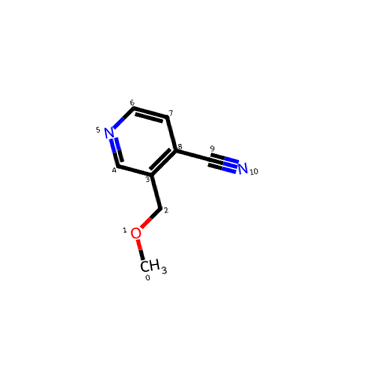 COCc1cnccc1C#N